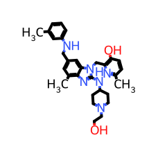 Cc1cccc(NCc2cc(C)c3nc(NC4CCN(CCO)CC4)n(Cc4nc(C)ccc4O)c3c2)c1